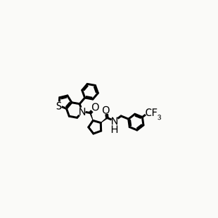 O=C(NCc1cccc(C(F)(F)F)c1)[C@H]1CCC[C@H]1C(=O)N1CCc2sccc2C1c1ccccc1